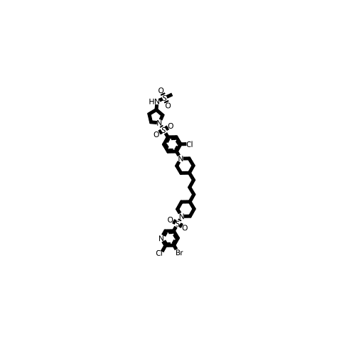 CS(=O)(=O)NC1CCN(S(=O)(=O)c2ccc(N3CCC(CCCC4CCN(S(=O)(=O)c5cnc(Cl)c(Br)c5)CC4)CC3)c(Cl)c2)C1